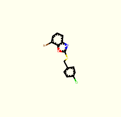 Clc1ccc(CSc2nc3cccc(Br)c3o2)cc1